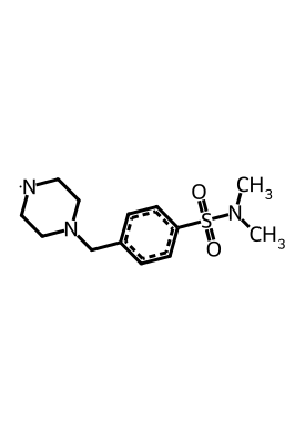 CN(C)S(=O)(=O)c1ccc(CN2CC[N]CC2)cc1